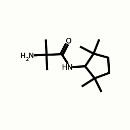 CC(C)(N)C(=O)NC1C(C)(C)CCC1(C)C